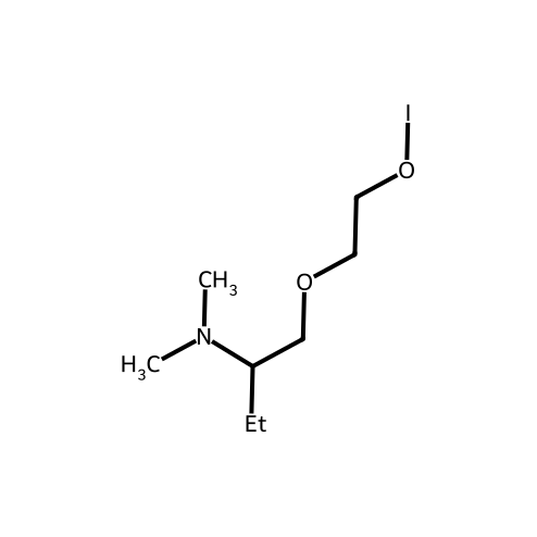 CCC(COCCOI)N(C)C